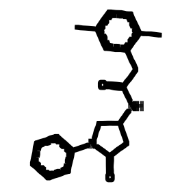 Cc1ccc(C)c(CC(=O)NC2CC(=O)N(c3ccccc3)C2)c1